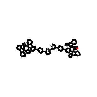 c1cc(-c2ccc(-c3ccc4c(c3)-c3ccccc3C43c4ccccc4C4(c5ccccc5-c5ccccc54)c4ccccc43)cc2)nc(-c2cc(-c3ccc(-c4ccc5c(c4)C4(c6ccccc6-c6ccccc64)c4ccccc4C54c5ccccc5-c5ccccc54)cc3)ccn2)c1